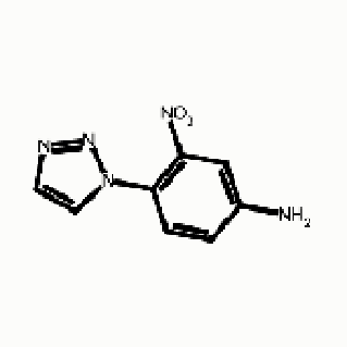 Nc1ccc(-n2ccnn2)c([N+](=O)[O-])c1